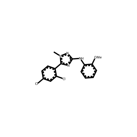 COc1ccccc1Nc1nc(-c2ccc(Cl)cc2Cl)n(C)n1